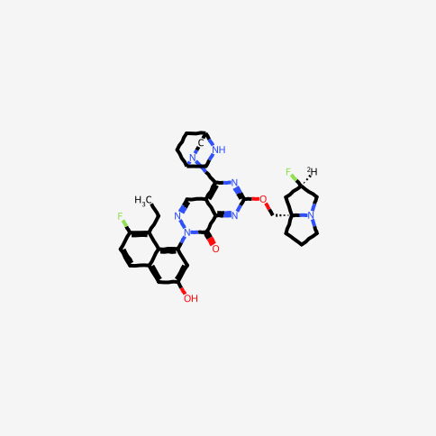 [2H][C@]1(F)CN2CCC[C@@]2(COc2nc(N3CC4CCC3CN4)c3cnn(-c4cc(O)cc5ccc(F)c(CC)c45)c(=O)c3n2)C1